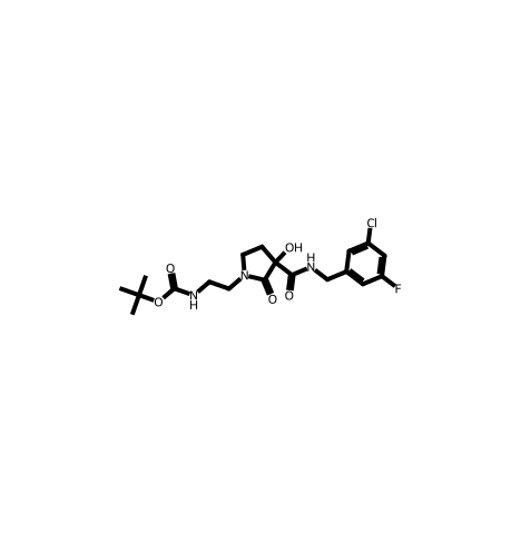 CC(C)(C)OC(=O)NCCN1CCC(O)(C(=O)NCc2cc(F)cc(Cl)c2)C1=O